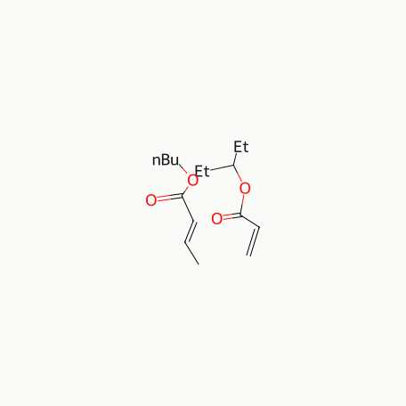 C=CC(=O)OC(CC)CC.CC=CC(=O)OCCCC